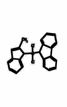 CC1=Cc2ccccc2[CH]1[Zr]([Cl])([Cl])[CH]1c2ccccc2-c2ccccc21